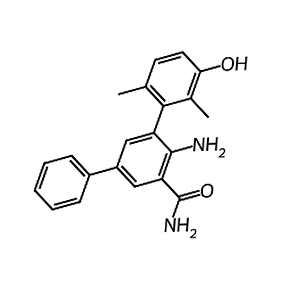 Cc1ccc(O)c(C)c1-c1cc(-c2ccccc2)cc(C(N)=O)c1N